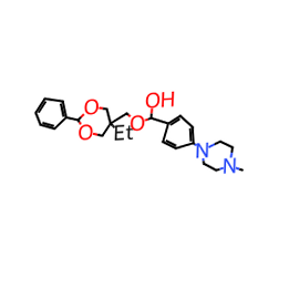 CCC1(COC(O)c2ccc(N3CCN(C)CC3)cc2)COC(c2ccccc2)OC1